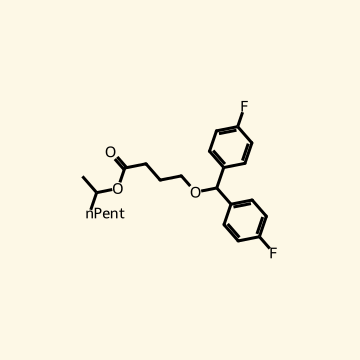 CCCCCC(C)OC(=O)CCCOC(c1ccc(F)cc1)c1ccc(F)cc1